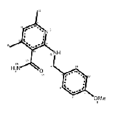 COc1ccc(CNc2nc(C)cc(C)c2C(N)=O)cc1